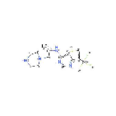 C[C@@H](CN1CCNCC1)Nc1ncnc2c(C(F)(F)F)csc12